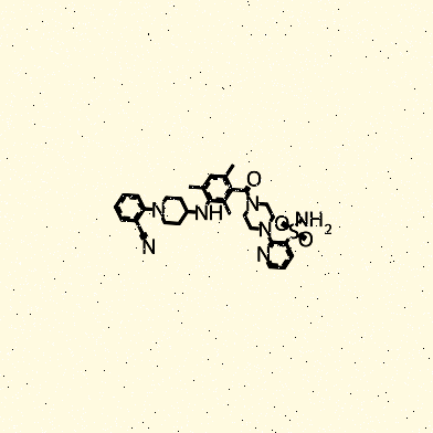 Cc1cc(C)c(C(=O)N2CCN(c3ncccc3S(N)(=O)=O)CC2)c(C)c1NC1CCN(c2ccccc2C#N)CC1